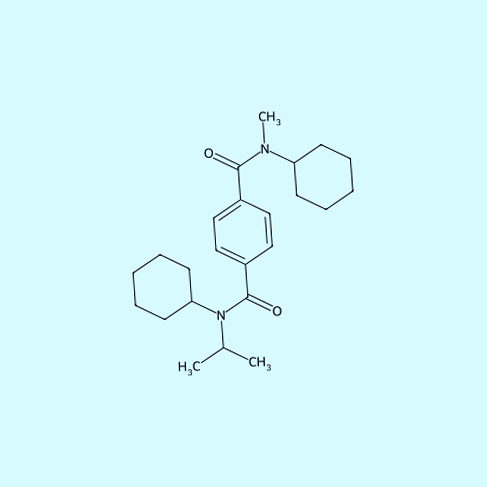 CC(C)N(C(=O)c1ccc(C(=O)N(C)C2CCCCC2)cc1)C1CCCCC1